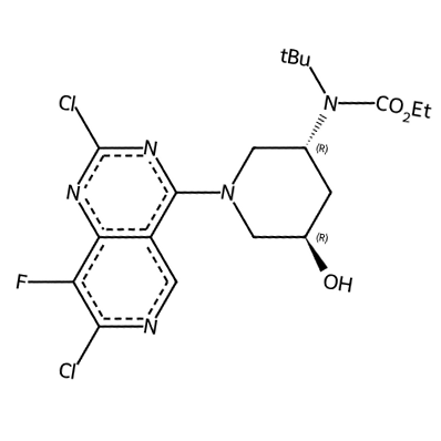 CCOC(=O)N([C@@H]1C[C@@H](O)CN(c2nc(Cl)nc3c(F)c(Cl)ncc23)C1)C(C)(C)C